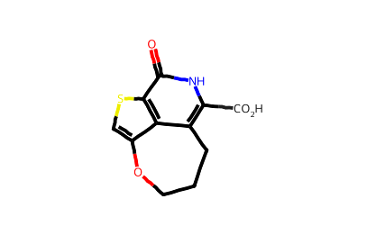 O=C(O)c1[nH]c(=O)c2scc3c2c1CCCO3